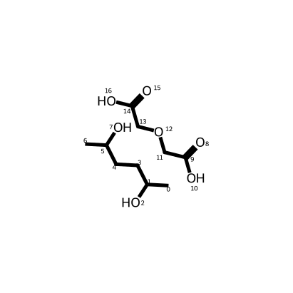 CC(O)CCC(C)O.O=C(O)COCC(=O)O